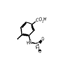 Cc1ccc(C(=O)O)cc1N[SH](=O)=O